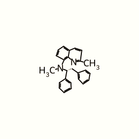 Cc1ccc2cccc(N(C)[C@H](Cc3ccccc3)c3ccccc3)c2n1